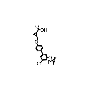 O=C(O)C1CC1COc1ccc(-c2cc(Cl)cc(OC(F)(F)F)c2)cc1